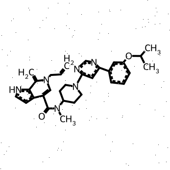 C=CCN1C=C(C(=O)N(C)C2CCN(c3cc(-c4cccc(OC(C)C)c4)ncn3)CC2)c2cc[nH]c2C1=C